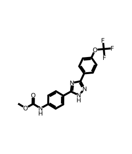 COC(=O)Nc1ccc(-c2nc(-c3ccc(OC(F)(F)F)cc3)n[nH]2)cc1